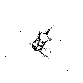 Cc1c2c3oc1c(C)c3C(=O)N2